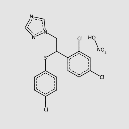 Clc1ccc(SC(Cn2cncn2)c2ccc(Cl)cc2Cl)cc1.O=[N+]([O-])O